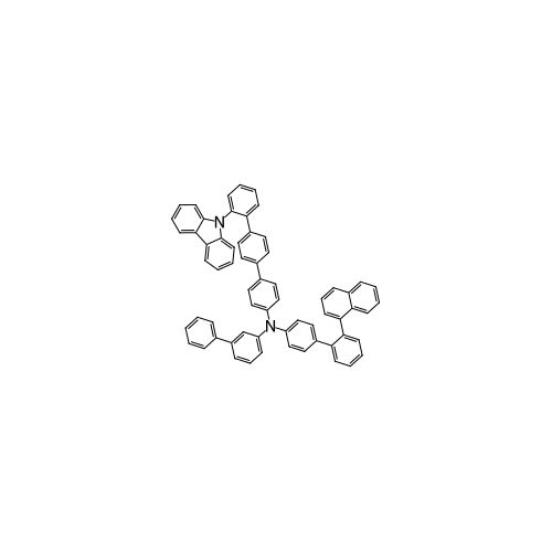 c1ccc(-c2cccc(N(c3ccc(-c4ccc(-c5ccccc5-n5c6ccccc6c6ccccc65)cc4)cc3)c3ccc(-c4ccccc4-c4cccc5ccccc45)cc3)c2)cc1